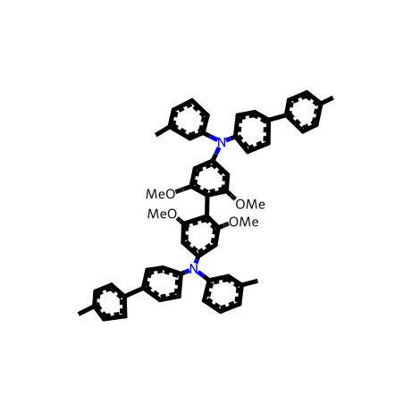 COc1cc(N(c2ccc(-c3ccc(C)cc3)cc2)c2cccc(C)c2)cc(OC)c1-c1c(OC)cc(N(c2ccc(-c3ccc(C)cc3)cc2)c2cccc(C)c2)cc1OC